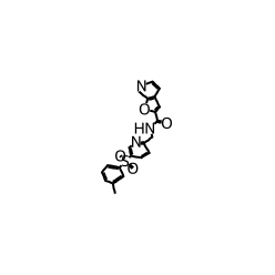 Cc1cccc(S(=O)(=O)c2ccc(CNC(=O)c3cc4ccncc4o3)nc2)c1